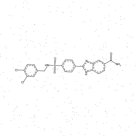 NC(=O)c1ccc2[nH]c(-c3ccc(S(=O)(=O)NCc4ccc(Cl)c(Cl)c4)cc3)nc2c1